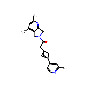 Cc1cc(C)c2c(n1)CN(C(=O)CC13CC(c4ccnc(C(F)(F)F)c4)(C1)C3)C2